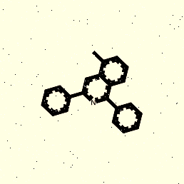 Cc1cccc2c(-c3ccccc3)nc(-c3ccccc3)cc12